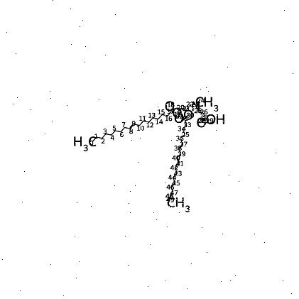 CCCCCCCCC=CCCCCCCCC(=O)OCC(CN(C)CCC(=O)O)OC(=O)CCCCCCCC=CCCCCCCCC